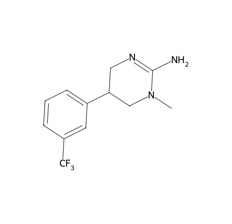 CN1CC(c2cccc(C(F)(F)F)c2)CN=C1N